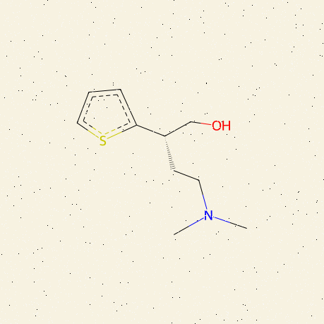 CN(C)CC[C@@H](CO)c1cccs1